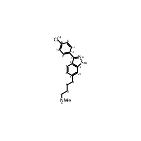 CNCCCCc1ccc2c(-c3ccc(Cl)cc3)nsc2c1